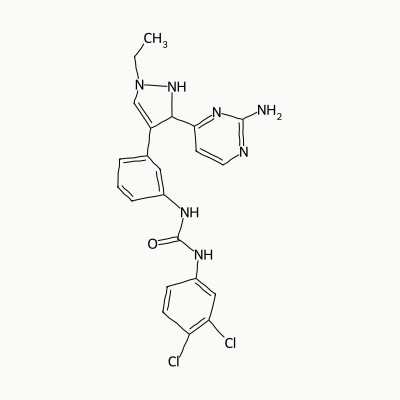 CCN1C=C(c2cccc(NC(=O)Nc3ccc(Cl)c(Cl)c3)c2)C(c2ccnc(N)n2)N1